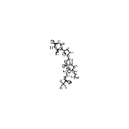 CC(C)OC(=O)C(C)NP(=O)(OCCSC(=O)C(C)(C)C)OC[C@@H]1CCC(n2ccc(=O)[nH]c2=O)O1